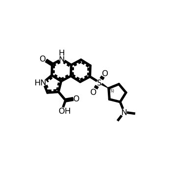 CN(C)C1CC[C@H](S(=O)(=O)c2ccc3[nH]c(=O)c4[nH]cc(C(=O)O)c4c3c2)C1